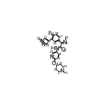 CN1CCC(Oc2ccc(NC(=O)/C(=N/I)c3ccc(F)c(-c4cnn(C)c4)c3)cn2)CC1